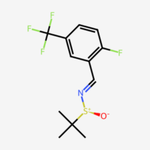 CC(C)(C)[S@+]([O-])/N=C/c1cc(C(F)(F)F)ccc1F